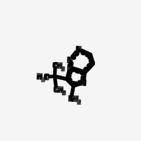 CC(C)(C)c1c(N)nc2ccnnn12